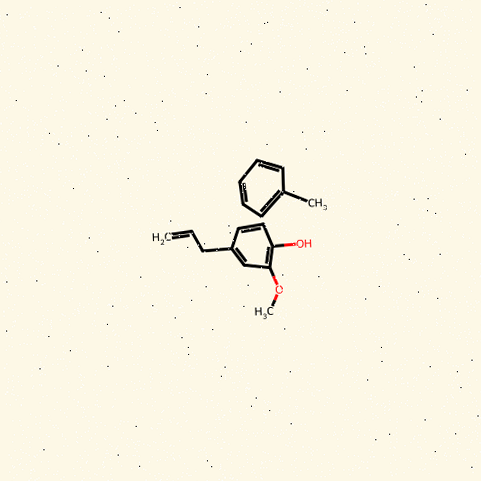 C=CCc1ccc(O)c(OC)c1.Cc1ccccc1